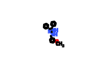 COc1cccc(CNC2=N[C@H](c3ccccc3)[C@@H](c3ccccc3)N2)c1